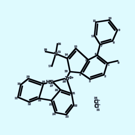 Cc1ccc2c(c1-c1ccccc1)C=C([Si](C)(C)C)[CH]2[Zr+2]1[c]2cccc3c2[SiH]1c1ccccc1-3.[Cl-].[Cl-]